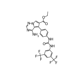 CCOC(=O)c1cn2ncnc(N)c2c1-c1ccc(NC(=O)Nc2cc(C(F)(F)F)cc(C(F)(F)F)c2)cc1